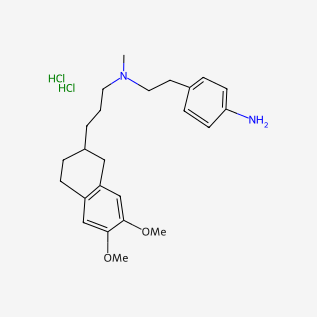 COc1cc2c(cc1OC)CC(CCCN(C)CCc1ccc(N)cc1)CC2.Cl.Cl